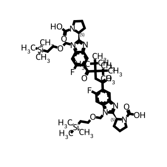 CC(C)(C)C(CC(=O)c1cc2nc([C@@H]3CCCN3C(=O)O)n(COCC[Si](C)(C)C)c2cc1F)(C(=O)c1cc2nc([C@@H]3CCCN3C(=O)O)n(COCC[Si](C)(C)C)c2cc1F)C(C)(C)C